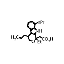 C=CCC1COC(CC)(CC(=O)O)c2[nH]c3c(CCC)cccc3c21